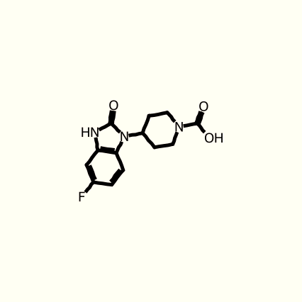 O=C(O)N1CCC(n2c(=O)[nH]c3cc(F)ccc32)CC1